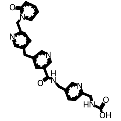 O=C(O)NCc1ccc(CNC(=O)c2cncc(Cc3ccc(Cn4ccccc4=O)nc3)c2)cn1